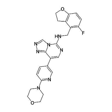 Fc1ccc2c(c1CNc1ncc(-c3ccc(N4CCOCC4)nc3)c3nncn13)CCO2